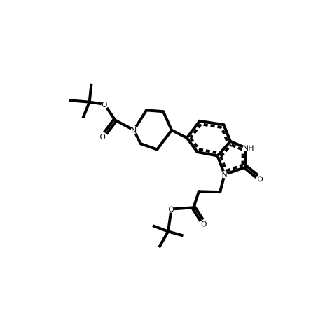 CC(C)(C)OC(=O)CCn1c(=O)[nH]c2ccc(C3CCN(C(=O)OC(C)(C)C)CC3)cc21